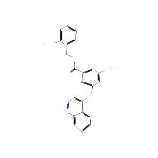 COc1cc(Oc2ccnc3ccccc23)cc(C(=O)NCc2ccccc2OC)c1